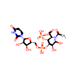 CC(=O)N[C@@H](C=O)[C@@H](OP(=O)(O)O)[C@H](OP(=O)(O)OC[C@H]1O[C@@H](n2ccc(=O)[nH]c2=O)[C@H](O)[C@@H]1O)[C@H](O)CO